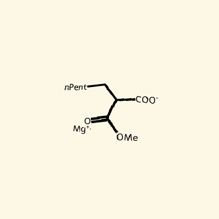 CCCCCCC(C(=O)[O-])C(=O)OC.[Mg+]